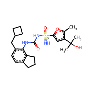 Cc1oc([S@](=N)(=O)NC(=O)Nc2c(CC3CCC3)ccc3c2CCC3)cc1C(C)(C)O